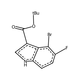 CC(C)(C)OC(=O)c1c[nH]c2ccc(F)c(Br)c12